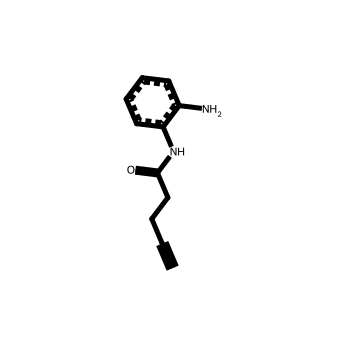 C#CCCC(=O)Nc1ccccc1N